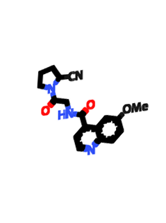 COc1ccc2nccc(C(=O)NCC(=O)N3CCCC3C#N)c2c1